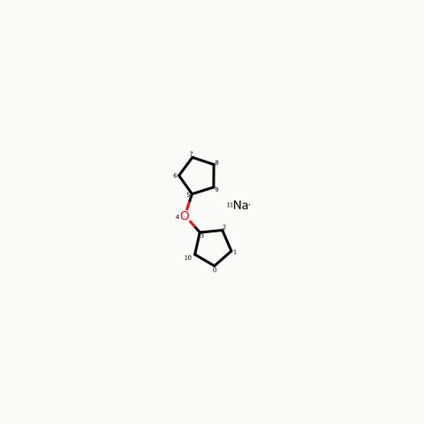 C1CCC(OC2CCCC2)C1.[Na]